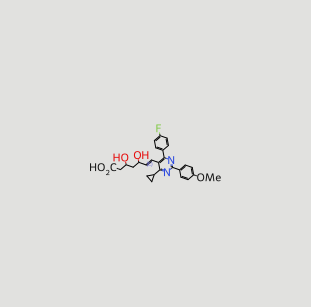 COc1ccc(-c2nc(-c3ccc(F)cc3)c(/C=C/C(O)CC(O)CC(=O)O)c(C3CC3)n2)cc1